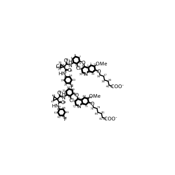 COc1cc2c(Oc3cccc(NC(=O)C4(C(=O)Nc5ccc(F)cc5)CC4)c3Cl)ccnc2cc1OCCCCCC(=O)[O-].COc1cc2c(Oc3cccc(NC(=O)C4(C(=O)Nc5ccc(F)cc5)CC4)c3Cl)ccnc2cc1OCCCCCC(=O)[O-].[Ca+2]